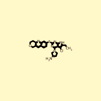 CCc1[nH]c2nc(Sc3ccc4cc5c(nc4c3)CCOC5)nc(N3CC[C@@H](N)C3)c2c1Cl